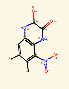 Cc1cc2c(c([NH+]([O-])O)c1C)NC(=O)C(O)N2